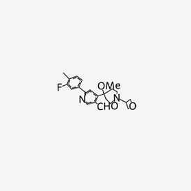 COC1(c2cc(-c3ccc(C)c(F)c3)ncc2C=O)CCN(C2COC2)CC1